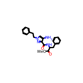 COC(=O)C(Cc1ccccc1)NC(=O)c1nn(CCc2ccccc2)cc1N